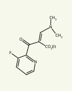 CCOC(=O)/C(=C\N(C)C)C(=O)c1ncccc1F